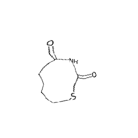 O=C1CCCSC(=O)N1